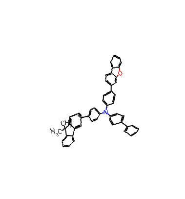 CC1(C)c2ccccc2-c2cc(-c3ccc(N(c4ccc(-c5ccccc5)cc4)c4ccc(-c5ccc6c(c5)oc5ccccc56)cc4)cc3)ccc21